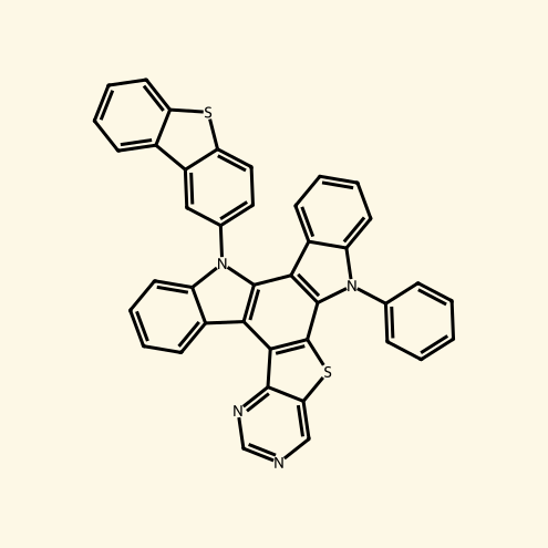 c1ccc(-n2c3ccccc3c3c2c2sc4cncnc4c2c2c4ccccc4n(-c4ccc5sc6ccccc6c5c4)c23)cc1